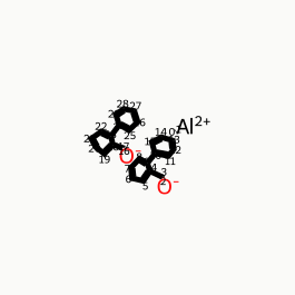 [CH3][Al+2].[O-]Cc1ccccc1-c1ccccc1.[O-]Cc1ccccc1-c1ccccc1